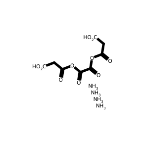 N.N.N.N.O=C(O)CC(=O)OC(=O)C(=O)OC(=O)CC(=O)O